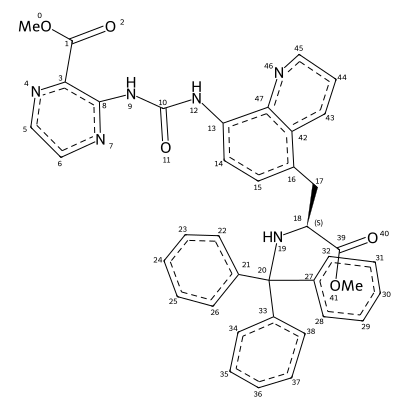 COC(=O)c1nccnc1NC(=O)Nc1ccc(C[C@H](NC(c2ccccc2)(c2ccccc2)c2ccccc2)C(=O)OC)c2cccnc12